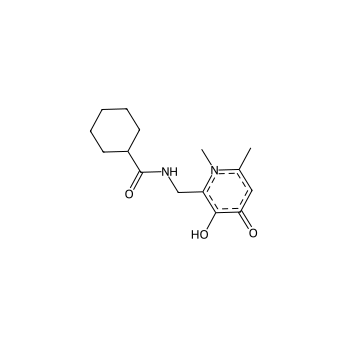 Cc1cc(=O)c(O)c(CNC(=O)C2CCCCC2)n1C